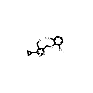 Cc1cccc(C)c1OCc1noc(C2CC2)c1CBr